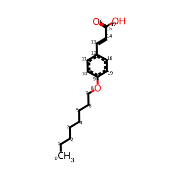 CCCCCCCCOc1ccc(/C=C/C(=O)O)cc1